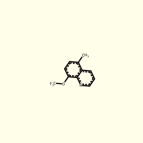 Cc1ccc(OC(F)(F)F)c2ncccc12